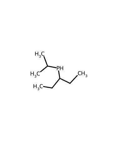 CCC(CC)PC(C)C